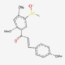 COc1ccc(C=CC(=O)c2cc([S+](C)[O-])c(OC)cc2OC)cc1